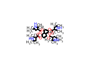 CC1(C)CC(C(=O)Oc2ccc3c(OC(=O)C4CC(C)(C)NC4(C)C)c(OC(=O)C4CC(C)(C)NC4(C)C)ccc3c2OC(=O)C2CC(C)(C)NC2(C)C)C(C)(C)N1